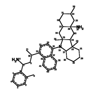 Cc1ccccc1C(N)CC(C)c1ccc(N2C3CCCCC3(C)C3CC4(N)CC(C)CCC4CC32C)c2ccccc12